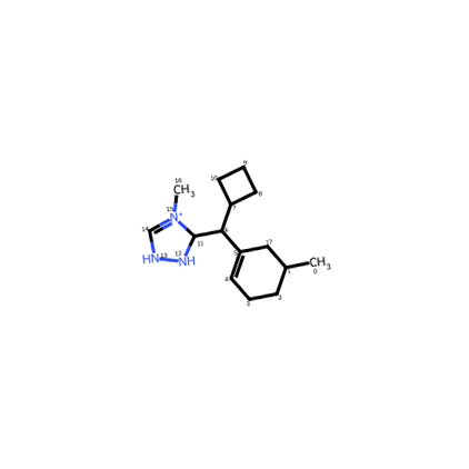 CC1CCC=C(C(C2CCC2)C2NNC=[N+]2C)C1